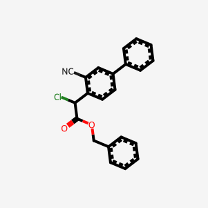 N#Cc1cc(-c2ccccc2)ccc1C(Cl)C(=O)OCc1ccccc1